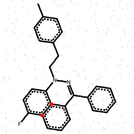 Cc1ccc(CCN(N=C(c2ccccc2)c2ccccc2)c2ccc(F)cc2)cc1